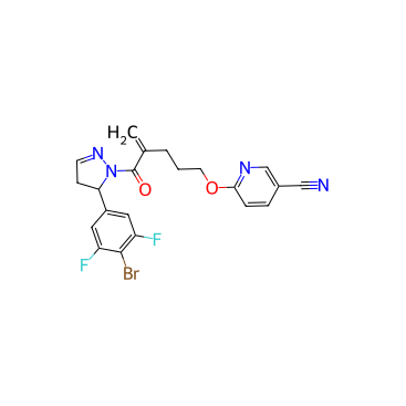 C=C(CCCOc1ccc(C#N)cn1)C(=O)N1N=CCC1c1cc(F)c(Br)c(F)c1